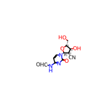 N#C[C@H]1[C@H](O)[C@@H](CO)O[C@H]1n1ccc(NC=O)nc1=O